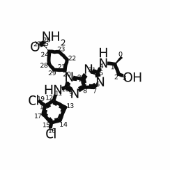 C[C@@H](CO)Nc1ncc2nc(Nc3ccc(Cl)cc3Cl)n([C@H]3CC[C@@H](C(N)=O)CC3)c2n1